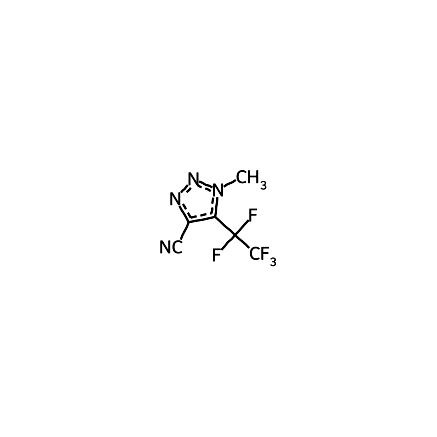 Cn1nnc(C#N)c1C(F)(F)C(F)(F)F